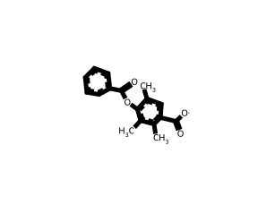 Cc1cc(C([O])=O)c(C)c(C)c1OC(=O)c1ccccc1